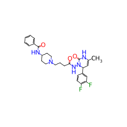 CC1=CC(c2ccc(F)c(F)c2)N(NC(=O)CCCN2CCC(NC(=O)c3ccccc3)CC2)C(=O)N1